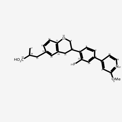 COc1cc(-c2ccc(C3COc4ccc(CC(C)C(=O)O)cc4C3)c(F)c2)ccn1